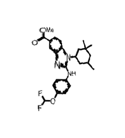 COC(=O)c1ccc2c(c1)nc(Nc1ccc(OC(F)F)cc1)n2C1CC(C)CC(C)(C)C1